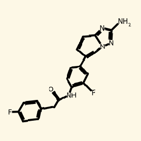 Nc1nc2ccc(-c3ccc(NC(=O)Cc4ccc(F)cc4)c(F)c3)cn2n1